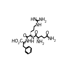 N=C(N)NCCC[C@H](NC(=O)[C@@H](N)CCC(N)=O)C(=O)N[C@@H](Cc1ccccc1)C(=O)O